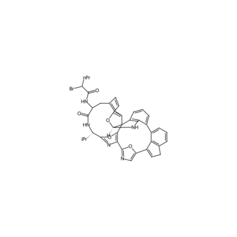 CCCC(Br)C(=O)NC1Cc2ccc3c(c2)C24c5cccc(c5N[C@H]2O3)-c2cccc3c2C(=CC3)c2cnc(o2)-c2nc(oc24)[C@H](C(C)C)NC1=O